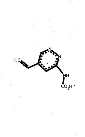 C=Cc1cnnc(NC(=O)O)c1